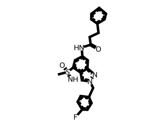 CS(=N)(=O)c1cc(NC(=O)CCc2ccccc2)cc2nn(Cc3ccc(F)cc3)cc12